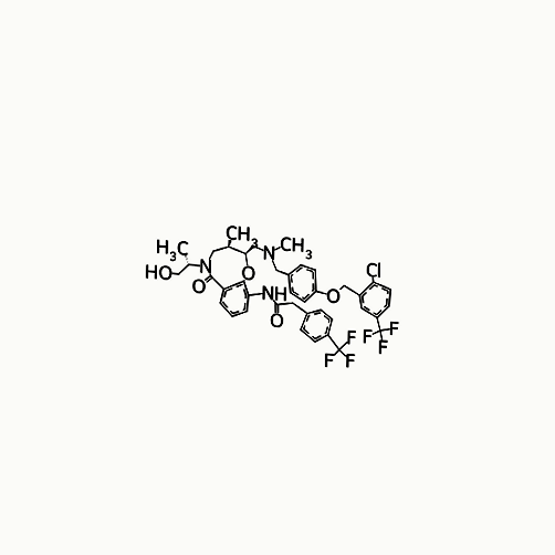 C[C@@H]1CN([C@@H](C)CO)C(=O)c2cccc(NC(=O)Cc3ccc(C(F)(F)F)cc3)c2O[C@@H]1CN(C)Cc1ccc(OCc2cc(C(F)(F)F)ccc2Cl)cc1